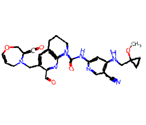 COC1(CNc2cc(NC(=O)N3CCCc4cc(CN5CC=COCC5=C=O)c(C=O)nc43)ncc2C#N)CC1